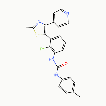 Cc1ccc(NC(=O)Nc2cccc(-c3sc(C)nc3-c3ccncc3)c2F)cc1